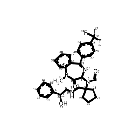 CN1C(=O)C(N(C=O)C2(CNC[C@@H](O)c3ccccc3)CCCC2)N=C(c2ccc(C(F)(F)F)cc2)c2ccccc21